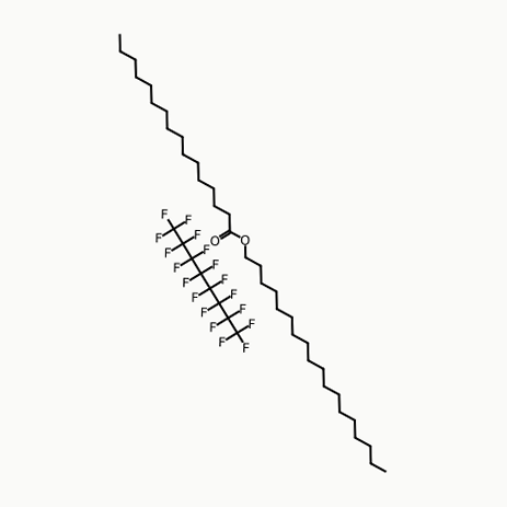 CCCCCCCCCCCCCCCCCCOC(=O)CCCCCCCCCCCCCCC.FC(F)(F)C(F)(F)C(F)(F)C(F)(F)C(F)(F)C(F)(F)C(F)(F)C(F)(F)F